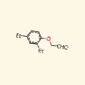 CCc1ccc(OC[C]=O)c(CC)c1